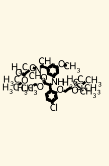 CCOC(=O)C(Nc1cc(OC)cc(C(C)=NOC(C)(C)C(=O)OC(C)(C)C)c1)c1ccc(Cl)cc1OCCO[Si](C)(C)C(C)(C)C